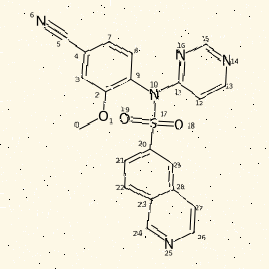 COc1cc(C#N)ccc1N(c1ccncn1)S(=O)(=O)c1ccc2cnccc2c1